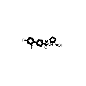 O=S(=O)(N[C@H]1CCC[C@@H]1CO)c1ccc(-c2ccc(F)cc2F)cc1